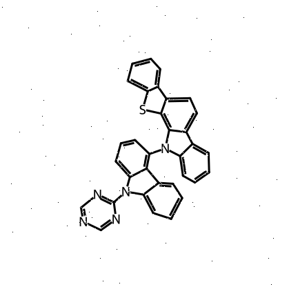 c1ccc2c(c1)sc1c2ccc2c3ccccc3n(-c3cccc4c3c3ccccc3n4-c3ncncn3)c21